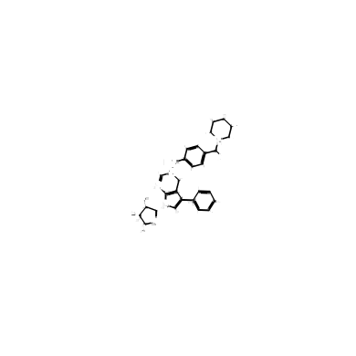 CC(c1ccc(NN2C=Nc3c(c(-c4ccccc4)cn3[C@@H]3O[C@H](C)[C@@H](O)[C@H]3O)C2)cc1)N1CCCCC1